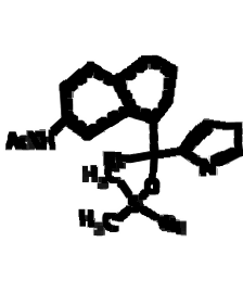 CCC(O[Si](C)(C)C(C)(C)C)(C1=CCC=N1)c1cccc2ccc(NC(C)=O)cc12